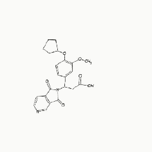 COc1cc(C(CC(=O)O)N2C(=O)c3ccncc3C2=O)ccc1OC1CCCC1